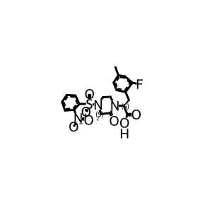 Cc1ccc(C[C@@H](C(=O)O)N2CCN(S(=O)(=O)c3ccccc3[N+](=O)[O-])[C@@H](C)C2=O)c(F)c1